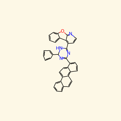 c1ccc(C2N=C(c3cccc4c3ccc3c5ccccc5ccc43)N=C(c3ccnc4oc5ccccc5c34)N2)cc1